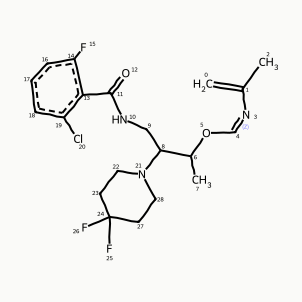 C=C(C)/N=C\OC(C)C(CNC(=O)c1c(F)cccc1Cl)N1CCC(F)(F)CC1